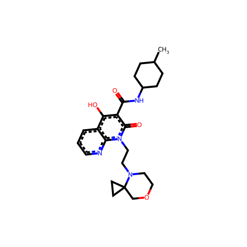 CC1CCC(NC(=O)c2c(O)c3cccnc3n(CCN3CCOCC34CC4)c2=O)CC1